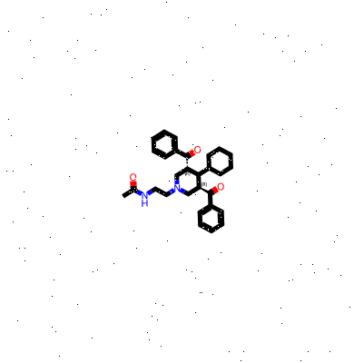 CC(=O)NCCN1C[C@H](C(=O)c2ccccc2)C(C2CCCCC2)[C@@H](C(=O)c2ccccc2)C1